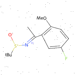 COc1ccc(F)cc1/C(C)=N/[S+]([O-])C(C)(C)C